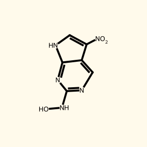 O=[N+]([O-])c1c[nH]c2nc(NO)ncc12